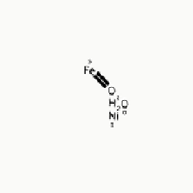 O.[Ni].[O]=[Fe]